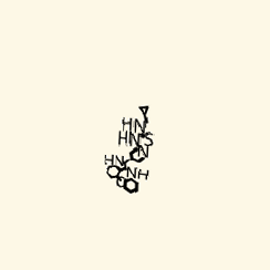 O=C1CCCc2[nH]c(-c3ccnc(NC(=S)NCC4CC4)c3)c(Nc3ccccc3)c21